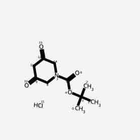 CC(C)(C)OC(=O)N1CC(=O)CC(=O)C1.Cl